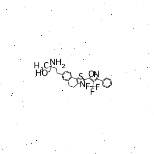 CC(N)(CO)CCc1ccc2c(c1)CCc1nc(-c3onc(-c4ccccc4)c3C(F)(F)F)sc1-2